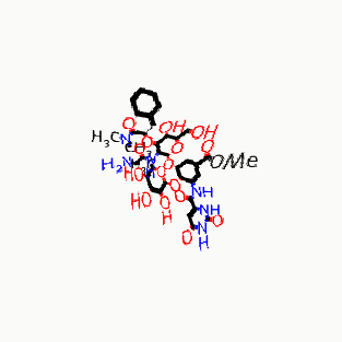 COC(=O)C1CC(NC(=O)c2cc(=O)[nH]c(=O)[nH]2)C(O[C@@H]2OC(C)[C@@H](O)C(O)C2O)[C@H](O[C@@H]2OC(CO)[C@H](O)C(O[C@@H](CC3CCCCC3)C(=O)N(C)C)C2NC(=O)CN)C1